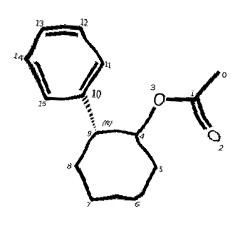 CC(=O)OC1CCCC[C@@H]1c1ccccc1